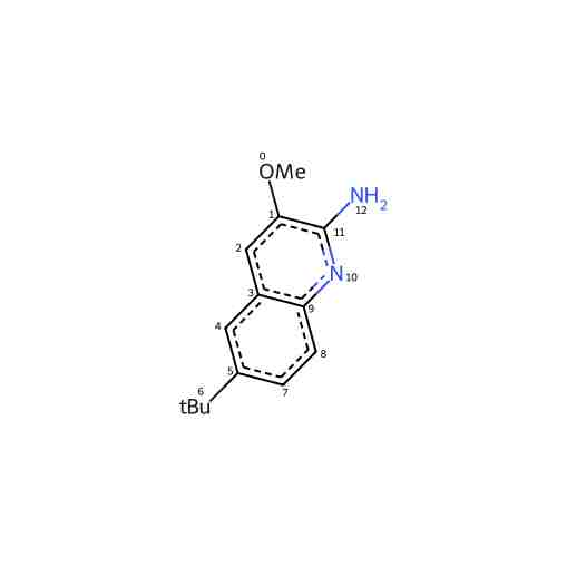 COc1cc2cc(C(C)(C)C)ccc2nc1N